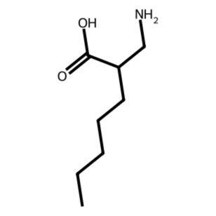 CCCCCC(CN)C(=O)O